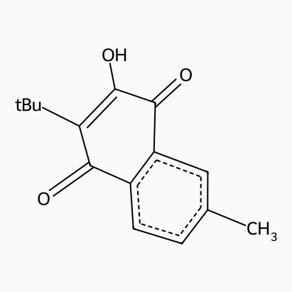 Cc1ccc2c(c1)C(=O)C(O)=C(C(C)(C)C)C2=O